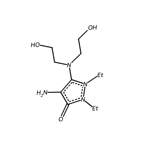 CCn1c(N(CCO)CCO)c(N)c(=O)n1CC